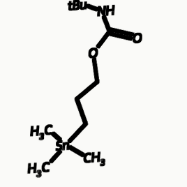 CC(C)(C)NC(=O)OCC[CH2][Sn]([CH3])([CH3])[CH3]